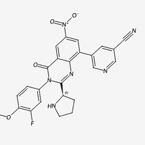 COc1ccc(-n2c([C@H]3CCCN3)nc3c(-c4cncc(C#N)c4)cc([N+](=O)[O-])cc3c2=O)cc1F